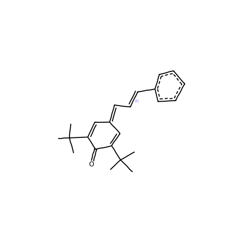 CC(C)(C)C1=CC(=C/C=C/c2ccccc2)C=C(C(C)(C)C)C1=O